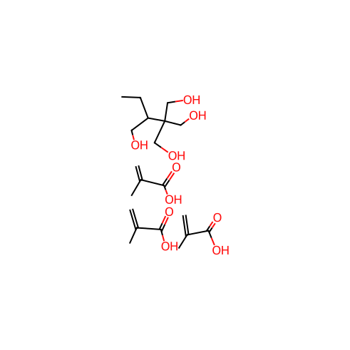 C=C(C)C(=O)O.C=C(C)C(=O)O.C=C(C)C(=O)O.CCC(CO)C(CO)(CO)CO